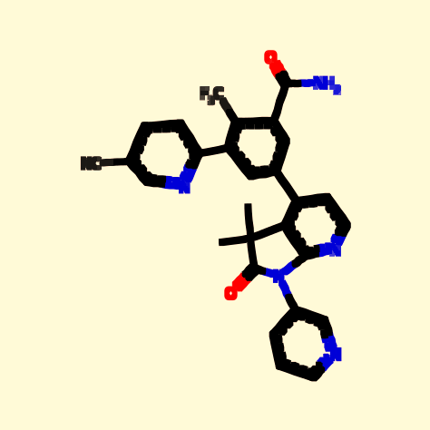 CC1(C)C(=O)N(c2cccnc2)c2nccc(-c3cc(C(N)=O)c(C(F)(F)F)c(-c4ccc(C#N)cn4)c3)c21